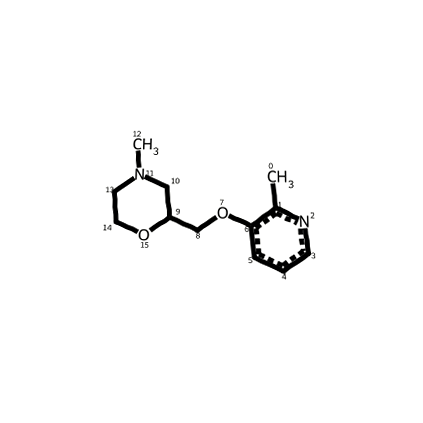 Cc1ncccc1OCC1CN(C)CCO1